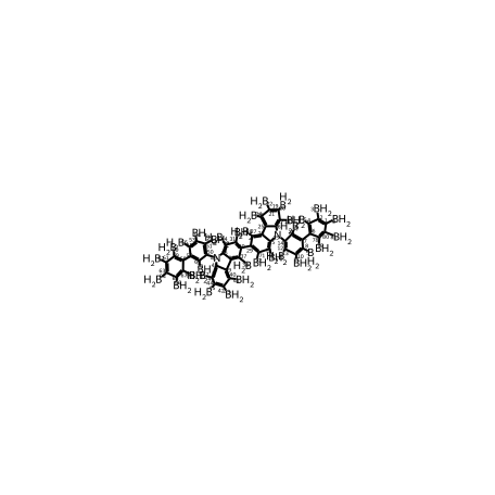 Bc1c(B)c(B)c(-c2c(B)c(B)c(B)c(-n3c4c(B)c(B)c(B)c(B)c4c4c(B)c(-c5c(B)c(B)c6c(c5B)c5c(B)c(B)c(B)c(B)c5n6-c5c(B)c(B)c(B)c(-c6c(B)c(B)c(B)c(B)c6B)c5B)c(B)c(B)c43)c2B)c(B)c1B